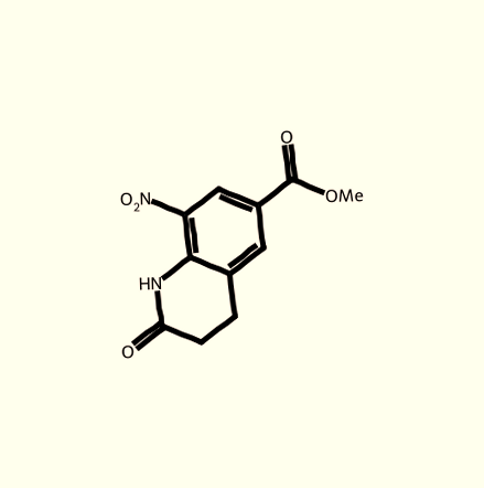 COC(=O)c1cc2c(c([N+](=O)[O-])c1)NC(=O)CC2